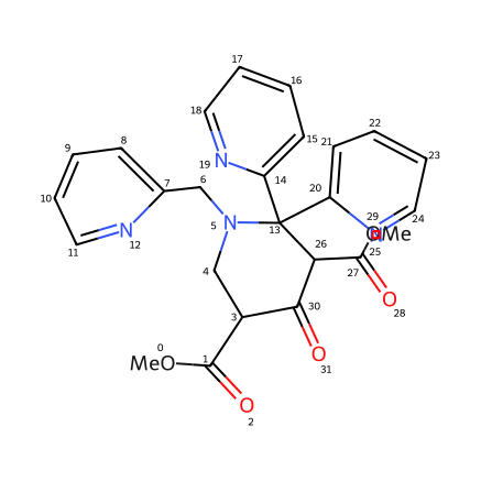 COC(=O)C1CN(Cc2ccccn2)C(c2ccccn2)(c2ccccn2)C(C(=O)OC)C1=O